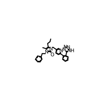 CCCc1c(C)n(CCc2ccccc2)c(=O)n1Cc1ccc(-c2ccccc2-c2nnn[nH]2)nc1